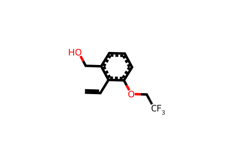 C=Cc1c(CO)cccc1OCC(F)(F)F